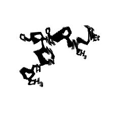 CCN(CC)CCN(C)Cc1cccc(C(=O)Nc2ccc(Cl)cc2-c2cc(NCc3cccc(C)c3)ncn2)c1